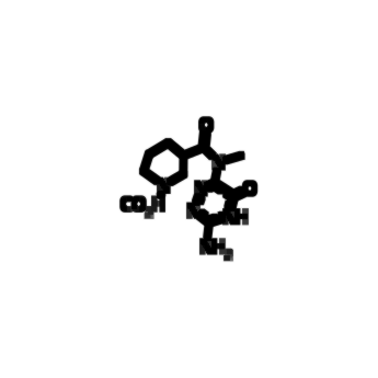 CN(C(=O)C1CCCN(C(=O)O)C1)c1nnc(N)[nH]c1=O